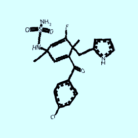 CC1(NS(N)(=O)=O)C=C(F)C(C)(Cc2ccc[nH]2)C(C(=O)c2ccc(Cl)cc2)=C1